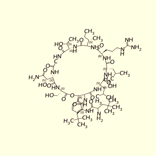 CC[C@H](C)C1NC(=O)[C@@H](CCCNC(=N)N)NC(=O)[C@H](CC(C)C)NC(=O)[C@H]([C@H](O)C(C)C)NC(=O)C(NC(=O)[C@H](CC(C)(C)C)NC(=O)C(N)CC(C)(C)C)[C@@H](c2ccccc2)OC(=O)[C@H](CO)NC(=O)[C@H]([C@H](O)C(N)=O)NC(=O)CNC(=O)[C@H]([C@H](C)O)NC1=O